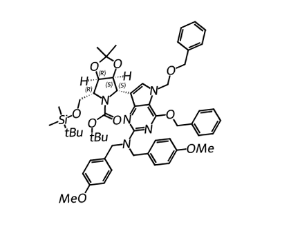 COc1ccc(CN(Cc2ccc(OC)cc2)c2nc(OCc3ccccc3)c3c(n2)c([C@H]2[C@@H]4OC(C)(C)O[C@@H]4[C@@H](CO[Si](C)(C)C(C)(C)C)N2C(=O)OC(C)(C)C)cn3COCc2ccccc2)cc1